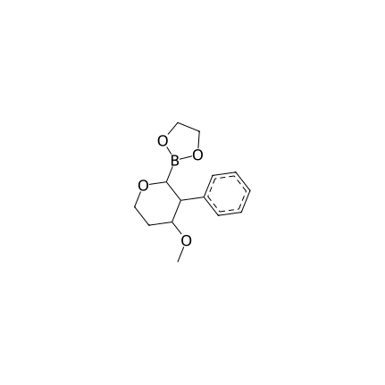 COC1CCOC(B2OCCO2)C1c1ccccc1